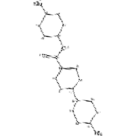 CCCCC1CCC(OC(=O)C2CCC(C3CCC(CCCC)CC3)CC2)CC1